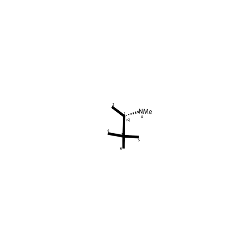 CN[C@@H](C)C(C)(C)C